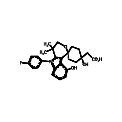 CC1(C)CO[C@]2(CC[C@@](O)(CC(=O)O)CC2)c2c1n(-c1ccc(F)cc1)c1cccc(O)c12